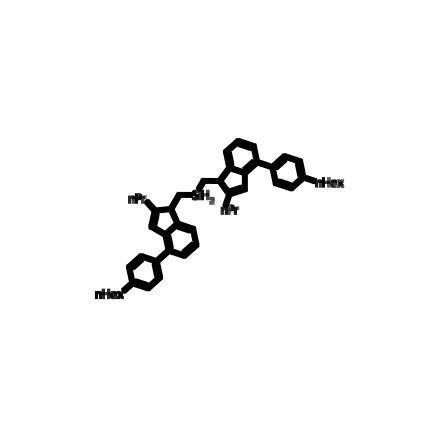 CCCCCCc1ccc(-c2cccc3c2C=C(CCC)C3C[SiH2]CC2C(CCC)=Cc3c(-c4ccc(CCCCCC)cc4)cccc32)cc1